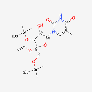 C=CO[C@]1(CO[Si](C)(C)C(C)(C)C)O[C@@H](n2cc(C)c(=O)[nH]c2=O)[C@@H](O)C1O[Si](C)(C)C(C)(C)C